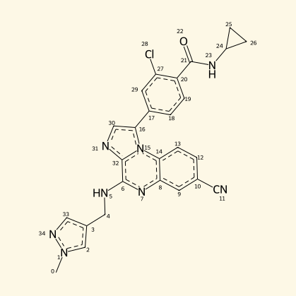 Cn1cc(CNc2nc3cc(C#N)ccc3n3c(-c4ccc(C(=O)NC5CC5)c(Cl)c4)cnc23)cn1